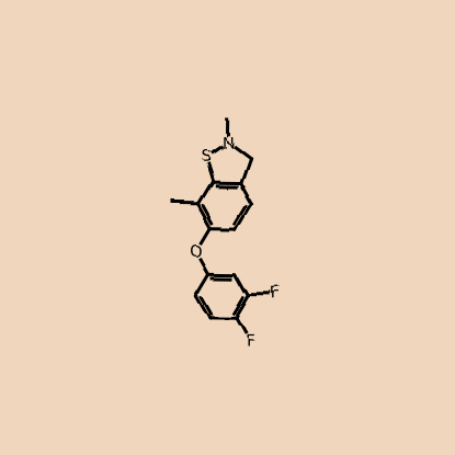 Cc1c(Oc2ccc(F)c(F)c2)ccc2c1SN(C)C2